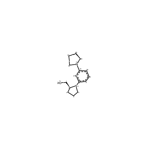 OC[C@@H]1CCCN1c1cccc(N2CCCC2)n1